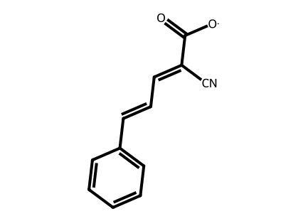 N#C/C(=C\C=C\c1ccccc1)C([O])=O